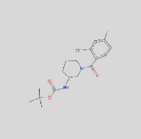 Cc1ccc(C(=O)N2CCCC(NC(=O)OC(C)(C)C)C2)c(Cl)c1